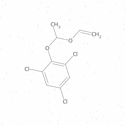 C=COC(C)Oc1c(Cl)cc(Cl)cc1Cl